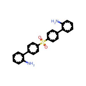 Nc1ccccc1-c1ccc(S(=O)(=O)c2ccc(-c3ccccc3N)cc2)cc1